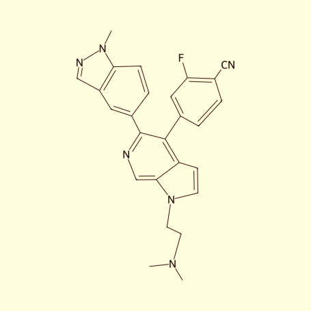 CN(C)CCn1ccc2c(-c3ccc(C#N)c(F)c3)c(-c3ccc4c(cnn4C)c3)ncc21